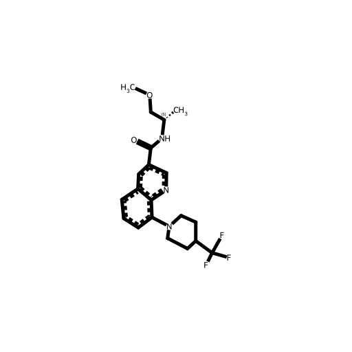 COC[C@H](C)NC(=O)c1cnc2c(N3CCC(C(F)(F)F)CC3)cccc2c1